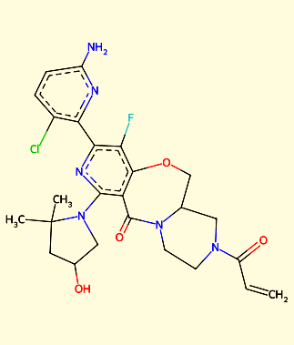 C=CC(=O)N1CCN2C(=O)c3c(N4CC(O)CC4(C)C)nc(-c4nc(N)ccc4Cl)c(F)c3OCC2C1